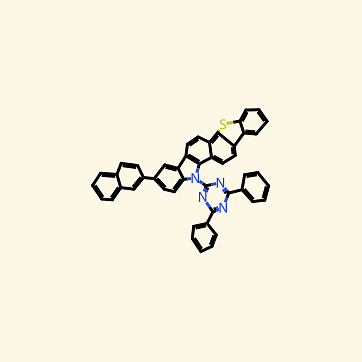 c1ccc(-c2nc(-c3ccccc3)nc(-n3c4ccc(-c5ccc6ccccc6c5)cc4c4ccc5c(ccc6c7ccccc7sc65)c43)n2)cc1